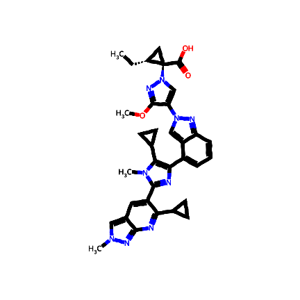 CC[C@@H]1C[C@@]1(C(=O)O)n1cc(-n2cc3c(-c4nc(-c5cc6cn(C)nc6nc5C5CC5)n(C)c4C4CC4)cccc3n2)c(OC)n1